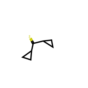 S=C(C1CC1)C1CC1